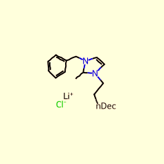 CCCCCCCCCCCCN1C=CN(Cc2ccccc2)C1C.[Cl-].[Li+]